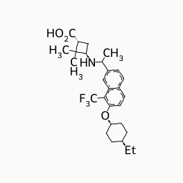 CC[C@H]1CC[C@@H](Oc2ccc3ccc(C(C)N[C@@H]4C[C@@H](C(=O)O)C4(C)C)cc3c2C(F)(F)F)CC1